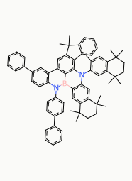 Cc1cc2c(cc1N1c3cc4c(cc3B3c5c(cc6c(c51)-c1ccccc1C6(C)C)-c1cc(-c5ccccc5)ccc1N3c1ccc(-c3ccccc3)cc1)C(C)(C)CCC4(C)C)C(C)(C)CCC2(C)C